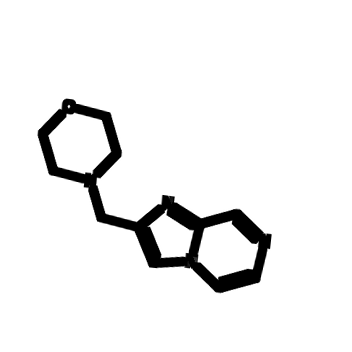 c1cn2cc(CN3CCOCC3)nc2cn1